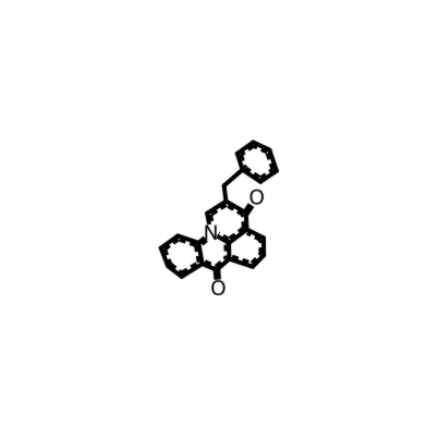 O=c1c(Cc2ccccc2)cn2c3ccccc3c(=O)c3cccc1c32